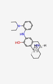 CCN(CC)c1ccccc1Nc1cc2c(cc1O)[C@]13CCCC[C@@H]1[C@H](C2)NCC3